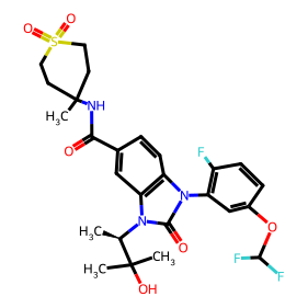 C[C@@H](n1c(=O)n(-c2cc(OC(F)F)ccc2F)c2ccc(C(=O)NC3(C)CCS(=O)(=O)CC3)cc21)C(C)(C)O